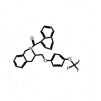 O=C(c1cccc2ccccc12)N1Cc2ccccc2CC1COc1ccc(OC(F)(F)F)cc1